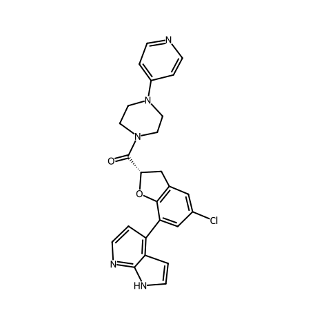 O=C([C@@H]1Cc2cc(Cl)cc(-c3ccnc4[nH]ccc34)c2O1)N1CCN(c2ccncc2)CC1